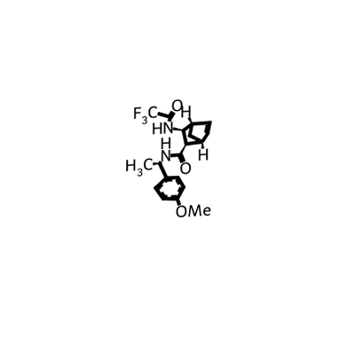 COc1ccc([C@@H](C)NC(=O)[C@H]2[C@@H](NC(=O)C(F)(F)F)[C@@H]3C=C[C@H]2C3)cc1